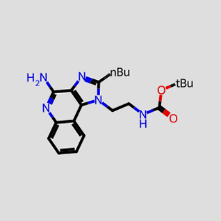 CCCCc1nc2c(N)nc3ccccc3c2n1CCNC(=O)OC(C)(C)C